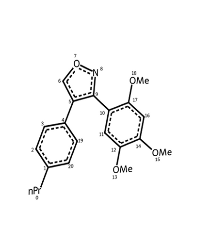 CCCc1ccc(-c2conc2-c2cc(OC)c(OC)cc2OC)cc1